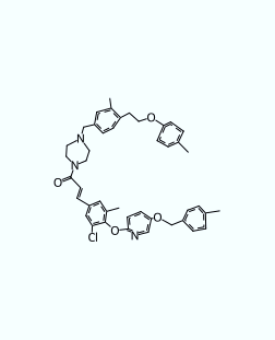 Cc1ccc(COc2ccc(Oc3c(C)cc(C=CC(=O)N4CCN(Cc5ccc(CCOc6ccc(C)cc6)c(C)c5)CC4)cc3Cl)nc2)cc1